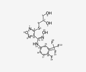 OCC(O)CSc1nonc1C(=NO)Nc1ccc(F)c(C(F)(F)F)c1